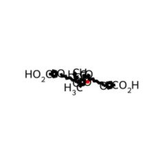 C=CC(=O)C(CCCCCOc1ccc(C(=O)O)cc1)Oc1ccc(OC(CCCCCOc2ccc(C(=O)O)cc2)C(=O)C=C)c(C)c1